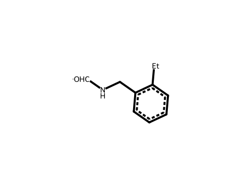 CCc1ccccc1CN[C]=O